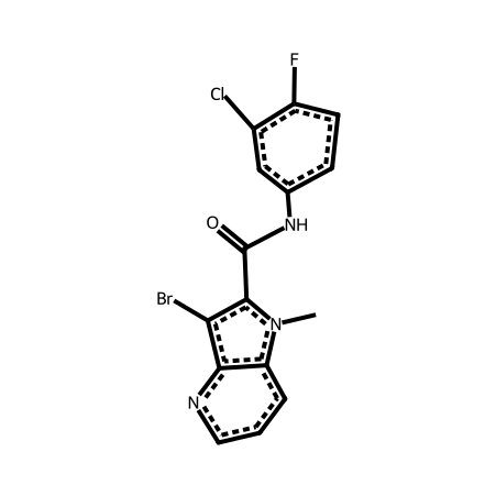 Cn1c(C(=O)Nc2ccc(F)c(Cl)c2)c(Br)c2ncccc21